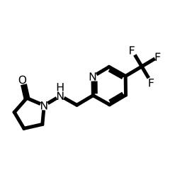 O=C1CCCN1NCc1ccc(C(F)(F)F)cn1